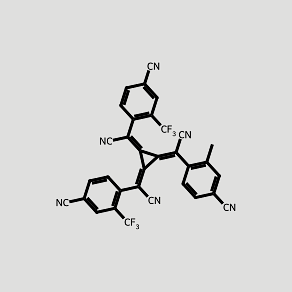 Cc1cc(C#N)ccc1/C(C#N)=C1/C(=C(C#N)c2ccc(C#N)cc2C(F)(F)F)/C1=C(/C#N)c1ccc(C#N)cc1C(F)(F)F